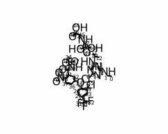 CCNc1nc(Cl)nc(NC(C)C)n1.CS(=O)(=O)NC(=O)c1cc(Oc2ccc(C(F)(F)F)cc2Cl)ccc1[N+](=O)[O-].O=C(O)CNCP(=O)(O)O